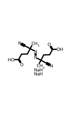 CC(C#N)(CCC(=O)O)/N=N/C(C)(C#N)CCC(=O)O.[NaH].[NaH]